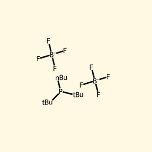 CCCCP(C(C)(C)C)C(C)(C)C.F[B-](F)(F)F.F[B-](F)(F)F